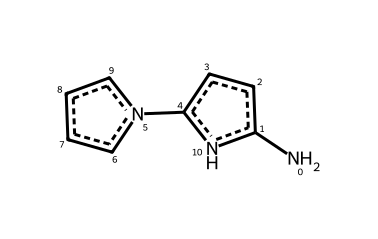 Nc1ccc(-n2cccc2)[nH]1